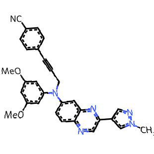 COc1cc(OC)cc(N(CC#Cc2ccc(C#N)cc2)c2ccc3ncc(-c4cnn(C)c4)nc3c2)c1